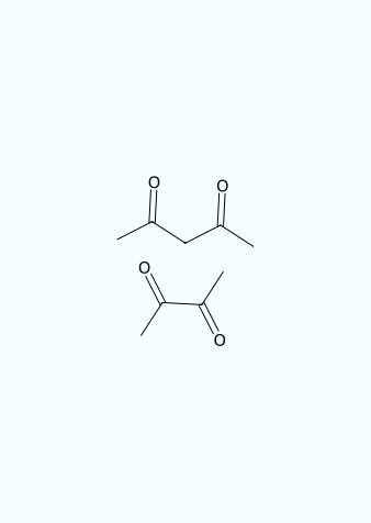 CC(=O)C(C)=O.CC(=O)CC(C)=O